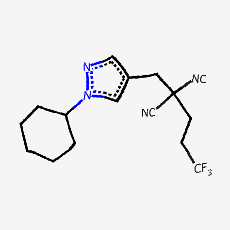 [C-]#[N+]C(C#N)(CCC(F)(F)F)Cc1cnn(C2CCCCC2)c1